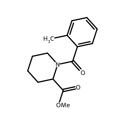 COC(=O)C1CCCCN1C(=O)c1ccccc1C